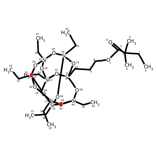 CCC(C)(C)C(=O)OCCC[Si]12O[Si]3(CC)C[Si]4(CC)O[Si]5(CC)O[Si](CC)(O3)O[Si](CC)(O1)O[Si](CC)(O5)O[Si](CC)(O4)O2